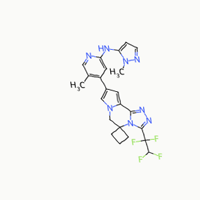 Cc1cnc(Nc2ccnn2C)cc1-c1cc2n(c1)CC1(CCC1)n1c-2nnc1C(F)(F)C(F)F